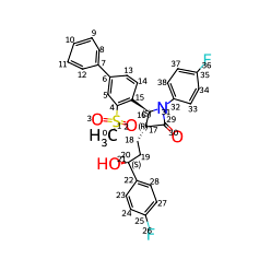 CS(=O)(=O)c1cc(-c2ccccc2)ccc1[C@@H]1[C@@H](CC[C@H](O)c2ccc(F)cc2)C(=O)N1c1ccc(F)cc1